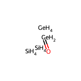 [GeH4].[O]=[GeH2].[SiH4].[SiH4]